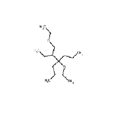 CCCC(CCC)(OCC)C(CC)COCC